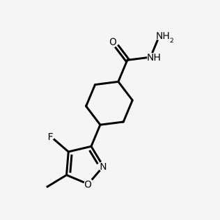 Cc1onc(C2CCC(C(=O)NN)CC2)c1F